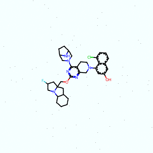 Oc1cc(N2CCc3c(nc(OCC45CC(F)CN4C4CCCCC4C5)nc3N3CC4CCC(C3)N4)C2)c2c(Cl)cccc2c1